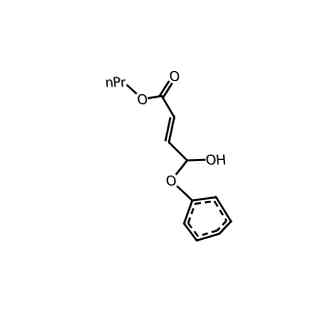 CCCOC(=O)C=CC(O)Oc1ccccc1